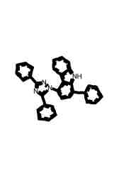 c1ccc(-c2nc(-c3ccccc3)n(-c3ccc(-c4ccccc4)c4[nH]c5ccccc5c34)n2)cc1